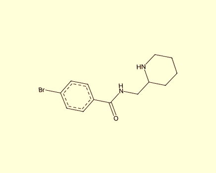 O=C(NCC1CCCCN1)c1ccc(Br)cc1